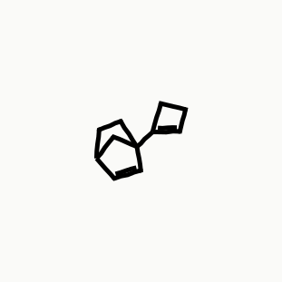 C1=CC2(C3=CCC3)CCC1C2